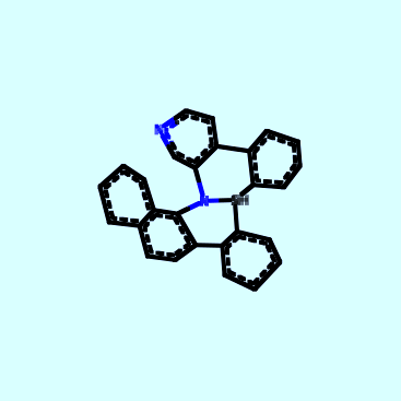 c1ccc2c(c1)-c1ccncc1N1c3c(ccc4ccccc34)-c3ccccc3[SiH]21